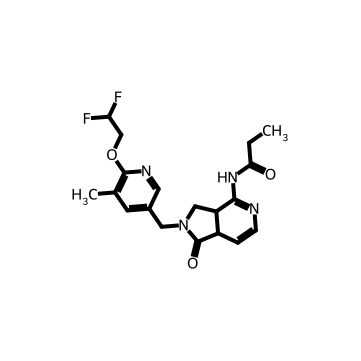 CCC(=O)NC1=NC=CC2C(=O)N(Cc3cnc(OCC(F)F)c(C)c3)CC12